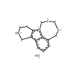 Cl.c1cc2c3c(c1)c1c(n3CCCOC2)CCNC1